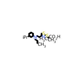 CC=CCN(CCc1csc(SC(C)(C)C(=O)O)n1)c1cccc(C(C)C)c1